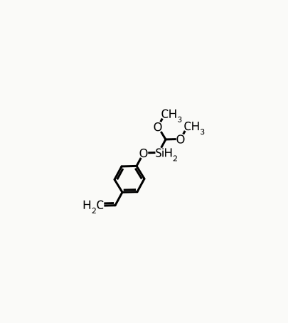 C=Cc1ccc(O[SiH2]C(OC)OC)cc1